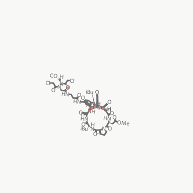 CC[C@H](C)[C@@H]1NC(=O)CNC(=O)[C@@H]2Cc3c([nH]c4ccc(NC(=O)CCNC(=O)CN(C(=O)CCl)N(CC(=O)O)C(=O)CCl)cc34)SC[C@H](NC(=O)CNC1=O)C(=O)N[C@@H](CC(=O)OC)C(=O)N1CCC[C@H]1C(=O)N[C@@H]([C@@H](C)CC)C(=O)N2